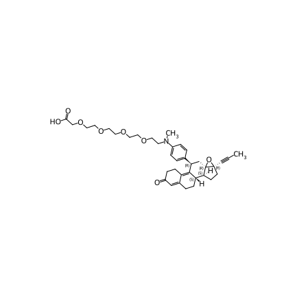 CC#C[C@]12CC[C@H]3[C@@H]4CCC5=CC(=O)CCC5=C4[C@@H](c4ccc(N(C)CCOCCOCCOCCOCC(=O)O)cc4)C[C@@]31O2